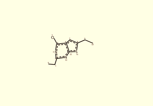 CCc1nc(Cl)c2cc(CC)sc2n1